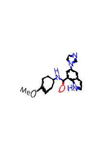 COC1CCC(NC(=O)c2cc(-n3ccnc3)cc3cc[nH]c23)CC1